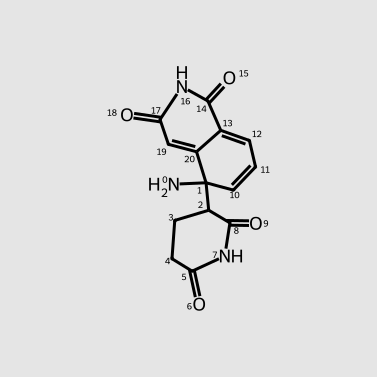 NC1(C2CCC(=O)NC2=O)C=CC=C2C(=O)NC(=O)C=C21